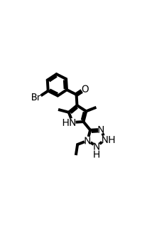 CCN1NNN=C1c1[nH]c(C)c(C(=O)c2cccc(Br)c2)c1C